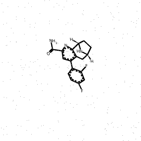 NC(=O)c1cc(-c2ccc(F)cc2F)c2c(n1)[C@@H]1CC[C@H](C2)N1